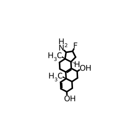 C[C@]12C=CC(O)CC1CC(O)C1=C2CC[C@]2(C)C(N)C(F)C[C@@H]12